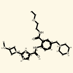 CCOCCNC(=O)c1cc(CN2CCOCC2)ccc1NC(=O)c1csc(N2CC(OC)C2)n1